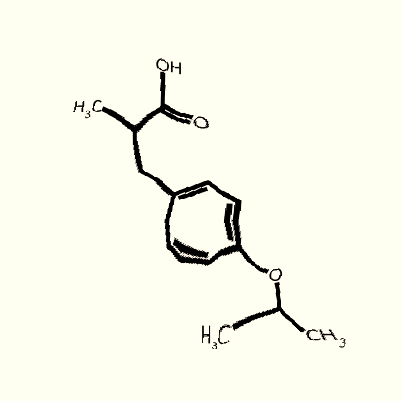 CC(C)Oc1ccc(CC(C)C(=O)O)cc1